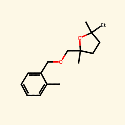 CCC1(C)CCC(C)(COCc2ccccc2C)O1